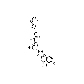 C[C@@]12[C@H]3C[C@@H](NC(=O)[C@H]4C[C@@H](O)c5cc(Cl)ccc5O4)[C@@H]1C[C@]32NC(=O)CO[C@H]1C[C@@H](OC(F)(F)F)C1